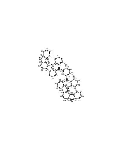 c1cc2c3c(c1)-n1c4c(cccc4c4ccc5oc6ccccc6c5c41)B3c1cc3c(cc1S2)Sc1cccc2c1B3c1cccc3c4ccc5oc6ccccc6c5c4n-2c13